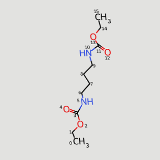 CCOC(=O)NCCCCNC(=O)OCC